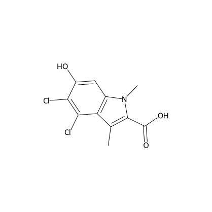 Cc1c(C(=O)O)n(C)c2cc(O)c(Cl)c(Cl)c12